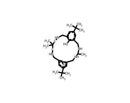 CC1NCc2cc(C(C)(C)C)cc(c2O)CNCC(C)(C)CNCc2cc(C(C)(C)C)cc(c2O)CN1